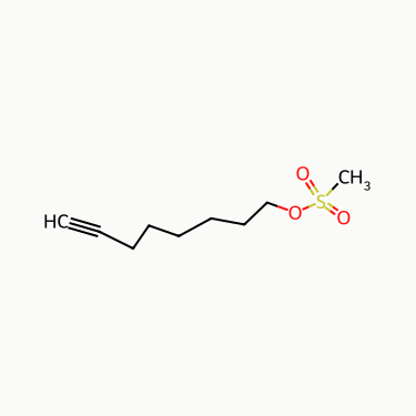 C#CCCCCCCOS(C)(=O)=O